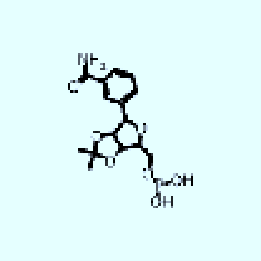 CC1(C)OC2C(COP(O)O)OC(c3cccc(C(N)=O)c3)C2O1